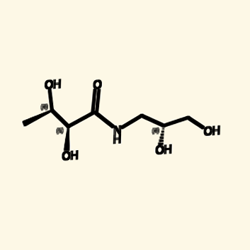 C[C@@H](O)[C@H](O)C(=O)NC[C@@H](O)CO